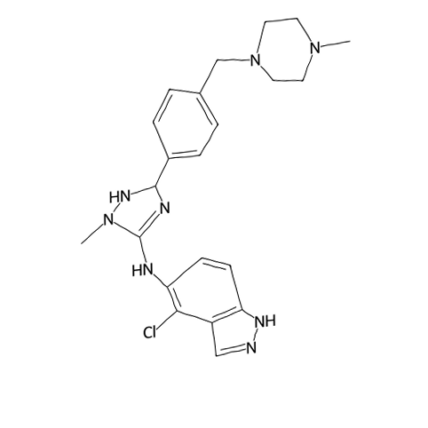 CN1CCN(Cc2ccc(C3N=C(Nc4ccc5[nH]ncc5c4Cl)N(C)N3)cc2)CC1